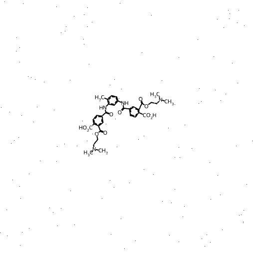 Cc1ccc(NC(=O)c2ccc(C(=O)O)c(C(=O)OCCN(C)C)c2)cc1NC(=O)c1ccc(C(=O)O)c(C(=O)OCCN(C)C)c1